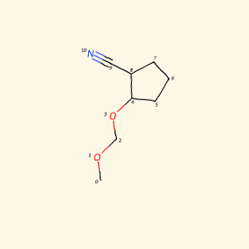 COCOC1CCCC1C#N